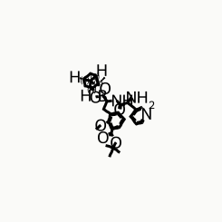 COc1c(CC(NC(=O)C(N)c2cccnc2)B2O[C@@H]3C[C@@H]4C[C@@H](C4(C)C)[C@]3(C)O2)cccc1C(=O)OC(C)(C)C